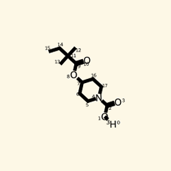 [3H]OC(=O)N1CCC(OC(=O)C(C)(C)CC)CC1